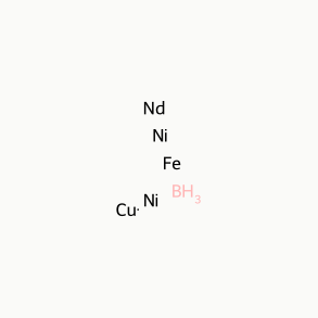 B.[Cu].[Fe].[Nd].[Ni].[Ni]